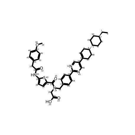 CC[C@H]1CC[C@H](C2CC=C(c3cnc(-c4ccc(CN(CC(=O)O)C(=O)c5ccc(NC(=O)Cc6ccc(OC)cc6)s5)cc4)nc3)CC2)CC1